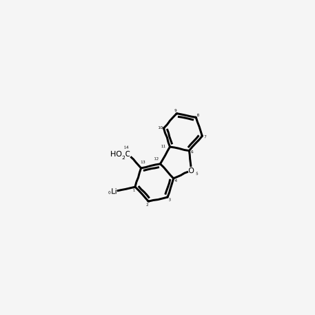 [Li][c]1ccc2oc3ccccc3c2c1C(=O)O